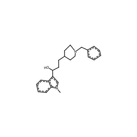 Cn1cc(C(O)CCC2CCN(Cc3ccccc3)CC2)c2ccccc21